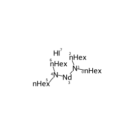 CCCCCC[N](CCCCCC)[Nd][N](CCCCCC)CCCCCC.I